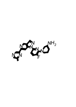 Cc1cncc(-c2cc3c(cn2)cnn3-c2ccc(F)c(N3CCCC(N)C3)n2)n1